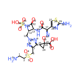 NCCS(=O)(=O)Cc1cnn(C[C@@H]2[C@H](NC(=O)C(=NOC3(C(=O)O)CC3)c3csc(N)n3)C(=O)N2S(=O)(=O)O)n1